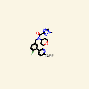 COc1ccc(-c2cc(CN(C(=O)c3ncn(C)n3)C3CCOCC3)ccc2F)cn1